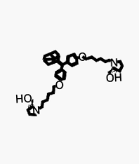 OC[C@@H]1CCCN1CCCCCCOc1ccc(C(=C2C3CC4CC(C3)CC2C4)c2ccc(OCCCCCCN3CCC[C@H]3CO)cc2)cc1